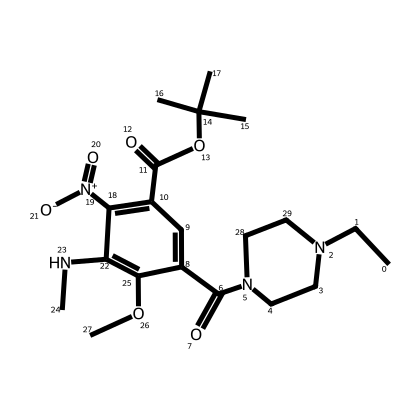 CCN1CCN(C(=O)c2cc(C(=O)OC(C)(C)C)c([N+](=O)[O-])c(NC)c2OC)CC1